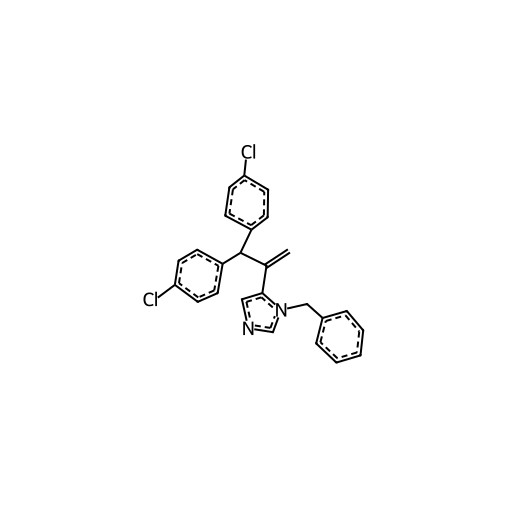 C=C(c1cncn1Cc1ccccc1)C(c1ccc(Cl)cc1)c1ccc(Cl)cc1